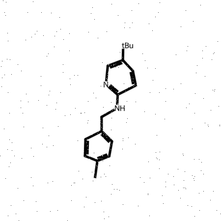 Cc1ccc(CNc2ccc(C(C)(C)C)cn2)cc1